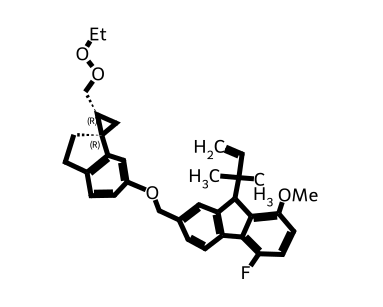 C=CC(C)(C)C1c2cc(COc3ccc4c(c3)[C@]3(CC4)C[C@H]3COOCC)ccc2-c2c(F)ccc(OC)c21